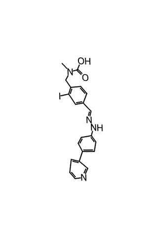 CN(Cc1ccc(C=NNc2ccc(-c3cccnc3)cc2)cc1I)C(=O)O